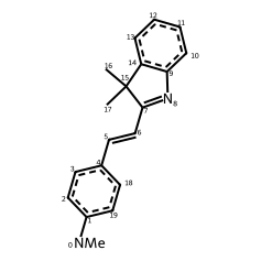 CNc1ccc(C=CC2=Nc3ccccc3C2(C)C)cc1